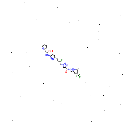 O=C(NCc1cc(C(F)(F)F)ccn1)c1cn(CC(F)CCc2ccc(NC(O)Cc3ccccn3)nn2)nn1